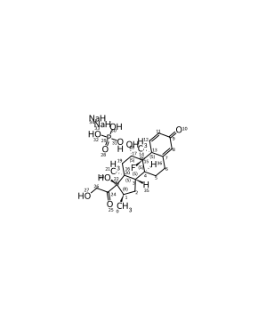 C[C@@H]1C[C@H]2[C@@H]3CCC4=CC(=O)C=C[C@]4(C)[C@@]3(F)[C@@H](O)C[C@]2(C)[C@@]1(O)C(=O)CO.O=P(O)(O)O.[NaH].[NaH]